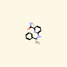 C[C@@H](Nc1cc[c]c(C(N)=O)n1)c1ccccc1